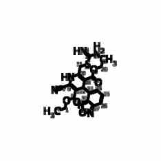 CCOC(=O)C1=C(C#N)NC(CSC(=N)N)=C(C(=O)OCC)C1c1cccc2nonc12